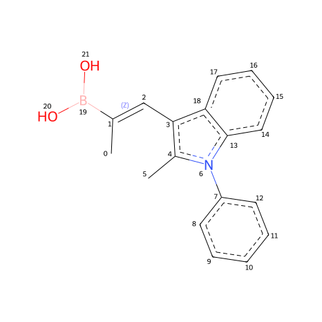 C/C(=C\c1c(C)n(-c2ccccc2)c2ccccc12)B(O)O